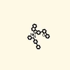 c1ccc(-c2ccc(-c3nc(-n4c5ccc(-c6cccc7c6oc6ccccc67)cc5c5c6ccccc6ccc54)nc4ccccc34)cc2)cc1